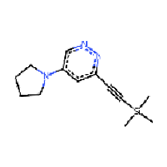 C[Si](C)(C)C#Cc1cc(N2CCCC2)cnn1